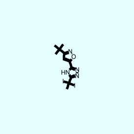 CC(C)(C)c1cc(-c2nnc(C(C)(I)I)[nH]2)on1